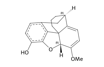 COC1=CC=C2[C@@H]3CCCC24c2c(ccc(O)c2O[C@@H]14)C3